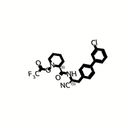 N#C[C@H](Cc1ccc(-c2cccc(Cl)c2)cc1)NC(=O)[C@@H]1CCCCN1OC(=O)C(F)(F)F